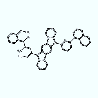 C/C=c1/cccc/c1=C(\C(C)=N\C(=C/C)n1c2ccccc2c2cc3c(cc21)c1ccccc1n3-c1cccc(-c2cccc3ccccc23)n1)C(C)C